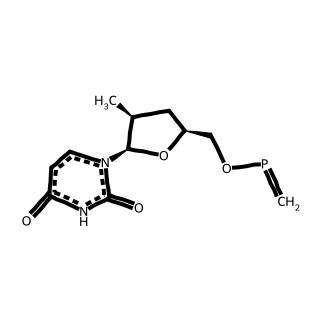 C=POC[C@@H]1C[C@H](C)[C@H](n2ccc(=O)[nH]c2=O)O1